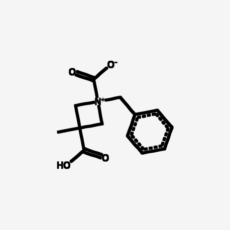 CC1(C(=O)O)C[N+](Cc2ccccc2)(C(=O)[O-])C1